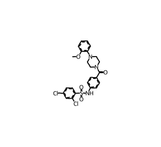 COc1ccccc1N1CCN(C(=O)c2ccc(NS(=O)(=O)c3ccc(Cl)cc3Cl)cc2)CC1